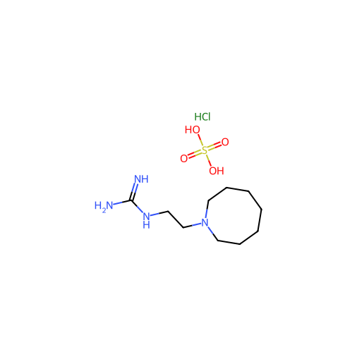 Cl.N=C(N)NCCN1CCCCCCC1.O=S(=O)(O)O